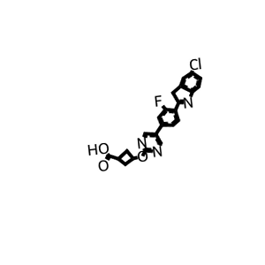 O=C(O)C1CC(Oc2ncc(-c3ccc(C4=Nc5ccc(Cl)cc5C4)c(F)c3)cn2)C1